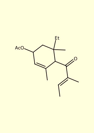 CC=C(C)C(=O)C1C(C)=CC(OC(C)=O)CC1(C)CC